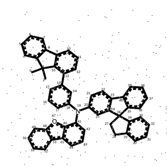 CC1(C)c2ccccc2-c2cccc(-c3cccc(N(c4ccc5c(c4)C4(CCc6ccccc64)c4ccccc4-5)c4cccc5c4oc4ccccc45)c3)c21